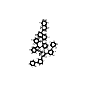 c1ccc(-c2cccc(-c3cc(-c4cccc(-c5ccccc5)c4)nc(-n4c5c(c6ccccc64)-c4ccccc4N(c4cccc6c(-c7ccc8ccccc8n7)cccc46)c4ccccc4-5)n3)c2)cc1